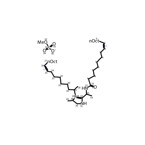 CCCCCCCC/C=C\CCCCCCCC(=O)NC(C)C1=[N+](C(C)CCCCCC/C=C\CCCCCCCC)C(C)CN1.COS(=O)(=O)[O-]